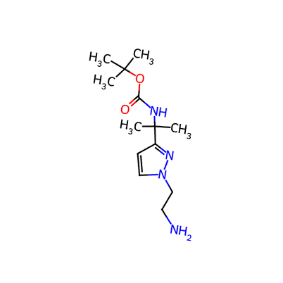 CC(C)(C)OC(=O)NC(C)(C)c1ccn(CCN)n1